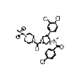 CN(C(=O)c1ccc(Cl)cc1)[C@@H]1CN(C(=O)N2CCN(S(C)(=O)=O)CC2)C[C@H]1c1ccc(Cl)c(Cl)c1